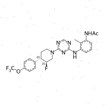 CC(=O)Nc1cccc(Nc2ncnc(N3CC[C@@H](c4ccc(OC(F)(F)F)cc4)[C@H](F)C3)n2)c1C